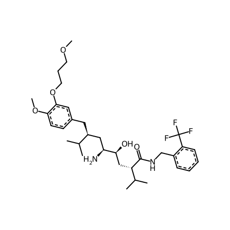 COCCCOc1cc(C[C@@H](C[C@H](N)[C@@H](O)C[C@H](C(=O)NCc2ccccc2C(F)(F)F)C(C)C)C(C)C)ccc1OC